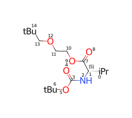 CC(C)[C@H](NC(=O)OC(C)(C)C)C(=O)OCCOCC(C)(C)C